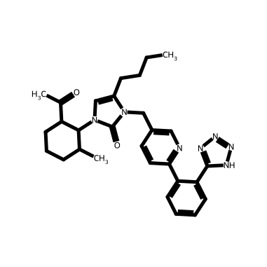 CCCCc1cn(C2C(C)CCCC2C(C)=O)c(=O)n1Cc1ccc(-c2ccccc2-c2nnn[nH]2)nc1